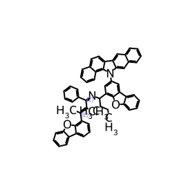 CCC(C)C(/N=C(\C(C)=C(/C)c1cccc2c1oc1ccccc12)c1ccccc1)c1cc(-n2c3cc4ccccc4cc3c3ccc4ccccc4c32)cc2c1oc1ccccc12